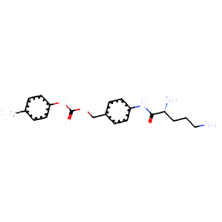 NCCC[C@H](N)C(=O)Nc1ccc(COC(=O)Oc2ccc([N+](=O)[O-])cc2)cc1